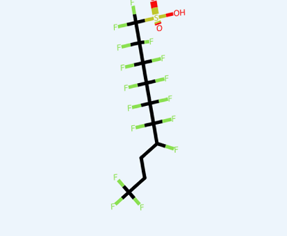 O=S(=O)(O)C(F)(F)C(F)(F)C(F)(F)C(F)(F)C(F)(F)C(F)(F)C(F)CCC(F)(F)F